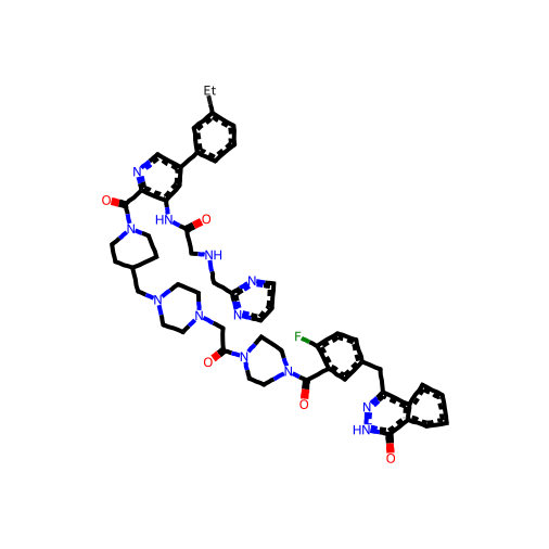 CCc1cccc(-c2cnc(C(=O)N3CCC(CN4CCN(CC(=O)N5CCN(C(=O)c6cc(Cc7n[nH]c(=O)c8ccccc78)ccc6F)CC5)CC4)CC3)c(NC(=O)CNCc3ncccn3)c2)c1